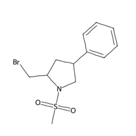 CS(=O)(=O)N1CC(c2ccccc2)CC1CBr